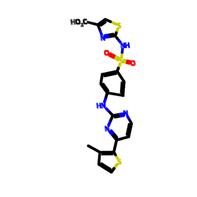 Cc1ccsc1-c1ccnc(Nc2ccc(S(=O)(=O)Nc3nc(C(=O)O)cs3)cc2)n1